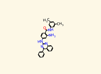 Cc1cc(C)cc(NC(=O)c2ccc(Nc3nc(-c4ccccc4)c4ccccc4n3)cc2N)c1